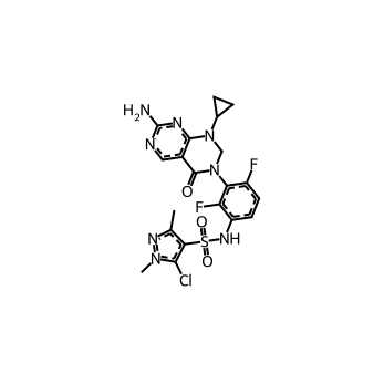 Cc1nn(C)c(Cl)c1S(=O)(=O)Nc1ccc(F)c(N2CN(C3CC3)c3nc(N)ncc3C2=O)c1F